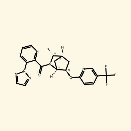 C[C@@H]1[C@H]2C[C@@H](Oc3ccc(C(F)(F)F)cn3)[C@H](C2)N1C(=O)c1ncccc1-n1nccn1